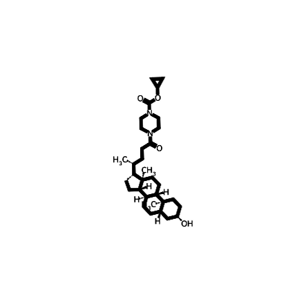 C[C@H](CCC(=O)N1CCN(C(=O)OC2CC2)CC1)[C@H]1CC[C@H]2[C@@H]3CC[C@H]4C[C@@H](O)CC[C@]4(C)[C@H]3CC[C@]12C